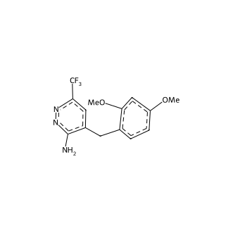 COc1ccc(Cc2cc(C(F)(F)F)nnc2N)c(OC)c1